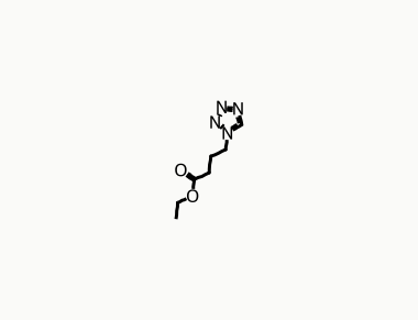 CCOC(=O)CCCn1cnnn1